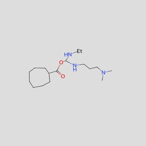 CCNC(NCCCN(C)C)OC(=O)C1CCCCCCC1